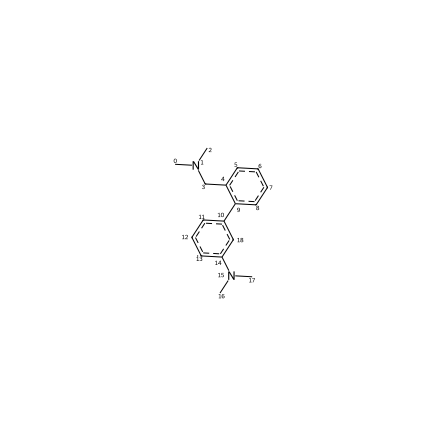 CN(C)Cc1ccccc1-c1cc[c]c(N(C)C)c1